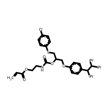 C=CC(=O)OCCNC(=O)OC(COc1ccc(C(C(C)C)C(C(C)C)C(C)C)cc1)CSc1ccc(Cl)cc1